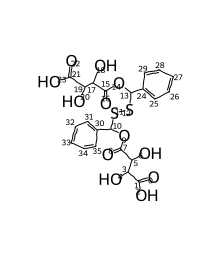 O=C(O)C(O)C(O)C(=O)OC(SSC(OC(=O)C(O)C(O)C(=O)O)c1ccccc1)c1ccccc1